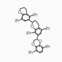 CC(C)c1cc(C2COc3c(C(C)C)ccc(C(C)C)c3O2)c(C(C)C)c2c1CCC(c1cc(C(C)C)c3c(c1C(C)C)CCCO3)O2